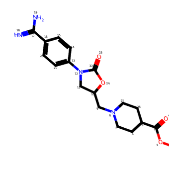 CCOC(=O)C1CCN(CC2CN(c3ccc(C(=N)N)cc3)C(=O)O2)CC1